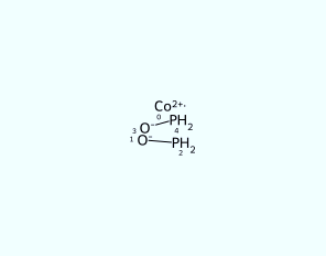 [Co+2].[O-]P.[O-]P